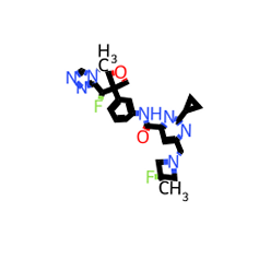 Cn1cnnc1C(F)C1(c2cccc(NC(=O)c3cc(CN4CC(C)(F)C4)nc(C4CC4)n3)c2)COC1